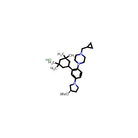 CO[C@@H]1CCN(c2ccc(N3CCN(CC4CC4)CC3)c(C3CC(C)(C)CC(C)(C)C3)c2)C1.Cl